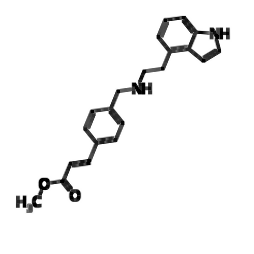 COC(=O)/C=C/c1ccc(CNCCc2cccc3[nH]ccc23)cc1